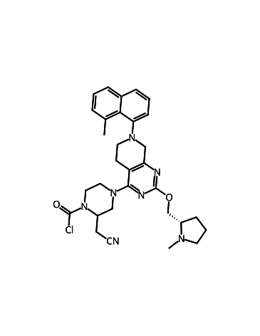 Cc1cccc2cccc(N3CCc4c(nc(OC[C@@H]5CCCN5C)nc4N4CCN(C(=O)Cl)C(CC#N)C4)C3)c12